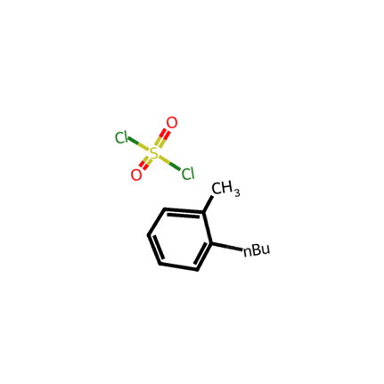 CCCCc1ccccc1C.O=S(=O)(Cl)Cl